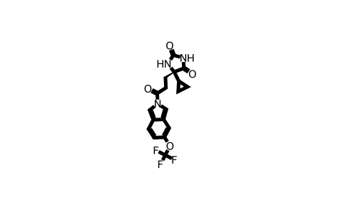 O=C1NC(=O)[C@](CCC(=O)n2cc3ccc(OC(F)(F)F)cc3c2)(C2CC2)N1